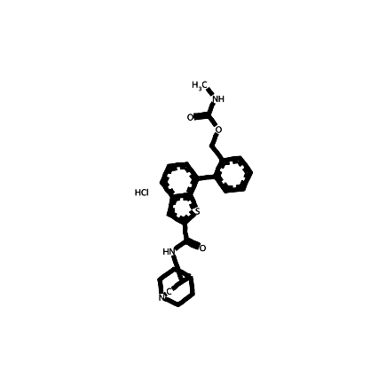 CNC(=O)OCc1ccccc1-c1cccc2cc(C(=O)NC3CN4CCC3CC4)sc12.Cl